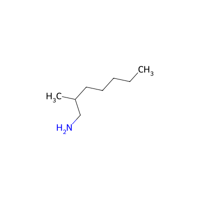 CCCCCC(C)CN